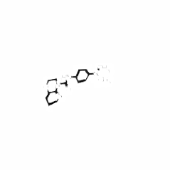 CN(C)c1ccc(NC(=O)N2CCOc3cccnc32)cc1